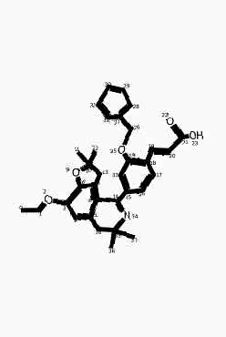 CCOc1cc2c(c3c1OC(C)(C)C3)C(c1ccc(C=CC(=O)O)c(OCc3ccccc3)c1)=NC(C)(C)C2